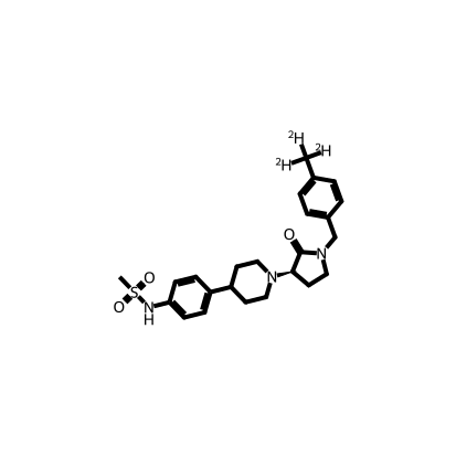 [2H]C([2H])([2H])c1ccc(CN2CC[C@@H](N3CCC(c4ccc(NS(C)(=O)=O)cc4)CC3)C2=O)cc1